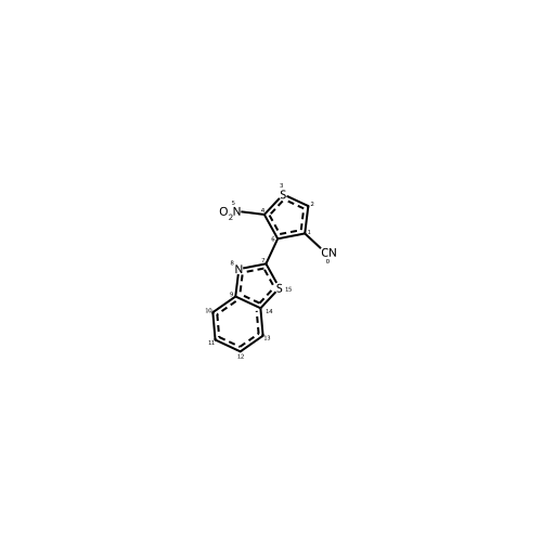 N#Cc1csc([N+](=O)[O-])c1-c1nc2ccccc2s1